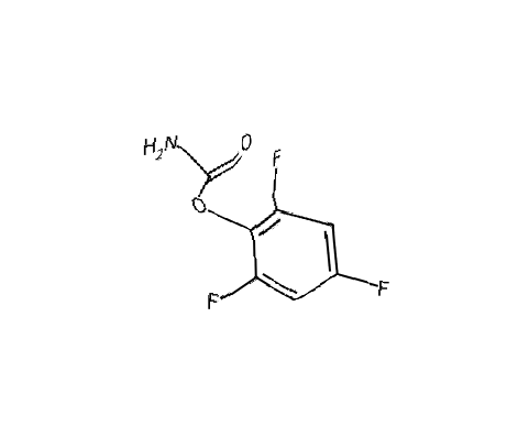 NC(=O)Oc1c(F)cc(F)cc1F